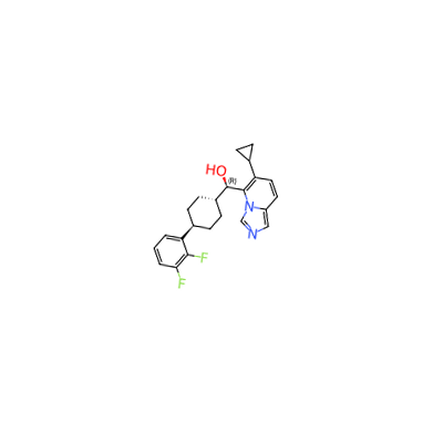 O[C@@H](c1c(C2CC2)ccc2cncn12)[C@H]1CC[C@H](c2cccc(F)c2F)CC1